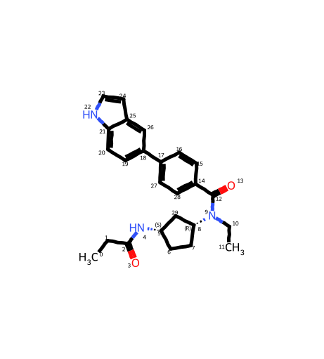 CCC(=O)N[C@H]1CC[C@@H](N(CC)C(=O)c2ccc(-c3ccc4[nH]ccc4c3)cc2)C1